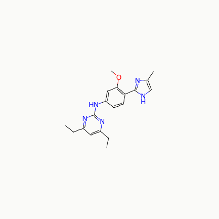 CCc1cc(CC)nc(Nc2ccc(-c3nc(C)c[nH]3)c(OC)c2)n1